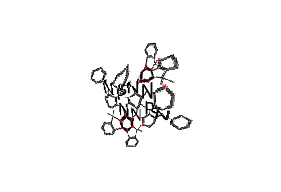 CC1(C)c2ccccc2-c2ccc(N3c4cccc5c4P4(=S)c6c(cccc6N(c6ccc7c(c6)C(C)(C)c6ccccc6-7)c6c7c8c(c3c64)N(c3ccc4c(c3)C(C)(C)c3ccccc3-4)c3cccc4c3P8(=S)c3c(cccc3N7c3ccc6c(c3)C(C)(C)c3ccccc3-6)N4c3ccccc3)N5c3ccccc3)cc21